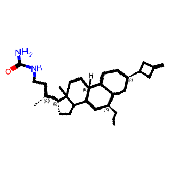 C=C1CC([C@@H]2CCC3C(C2)[C@@H](CC)CC2C4CC[C@H]([C@H](C)CCNC(N)=O)C4(C)CC[C@H]32)C1